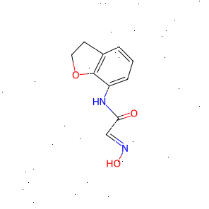 O=C(C=NO)Nc1cccc2c1OCC2